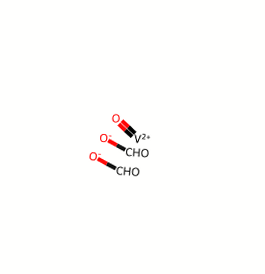 O=C[O-].O=C[O-].[O]=[V+2]